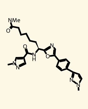 CNC(=O)CCCCC[C@H](NC(=O)c1cnn(C)c1)c1ncc(-c2ccc(-c3ccn(C)n3)cc2)o1